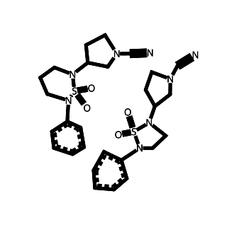 N#CN1CCC(N2CCCN(c3ccccc3)S2(=O)=O)C1.N#CN1CCC(N2CCN(c3ccccc3)S2(=O)=O)C1